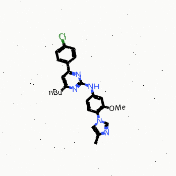 CCCCc1cc(-c2ccc(Cl)cc2)nc(Nc2ccc(-n3cnc(C)c3)c(OC)c2)n1